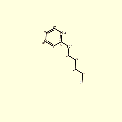 CCCCCOc1cn[c]cn1